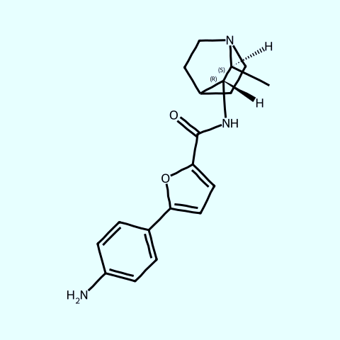 C[C@H]1[C@H](NC(=O)c2ccc(-c3ccc(N)cc3)o2)C2CCN1CC2